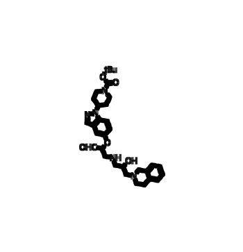 CC(C)(C)OC(=O)N1CCC(n2ncc3cc(OC(C=O)CNCC(O)CN4CCc5ccccc5C4)ccc32)CC1